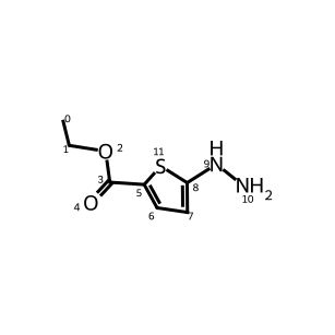 CCOC(=O)c1ccc(NN)s1